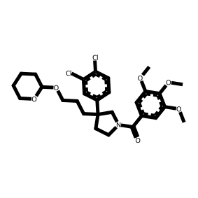 COc1cc(C(=O)N2CCC(CCCOC3CCCCO3)(c3ccc(Cl)c(Cl)c3)C2)cc(OC)c1OC